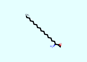 CCCCCCCCCCCCCCCCCC(N)C1CO1